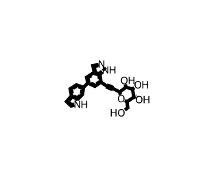 OCC1OC(C#Cc2cc(-c3ccc4cc[nH]c4c3)cc3cn[nH]c23)C(O)C(O)[C@@H]1O